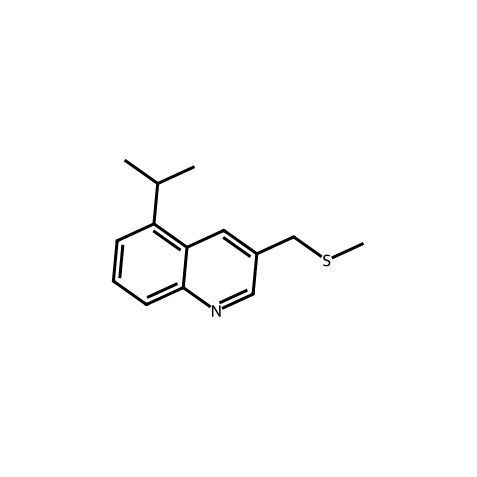 CSCc1cnc2cccc(C(C)C)c2c1